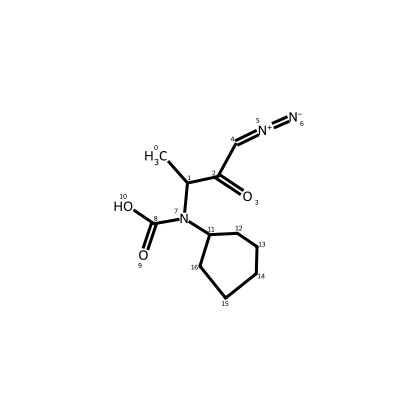 CC(C(=O)C=[N+]=[N-])N(C(=O)O)C1CCCCC1